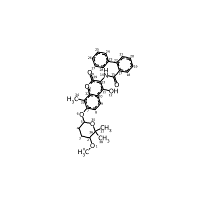 COC1CCC(Oc2ccc3c(O)c(NC(=O)c4ccccc4-c4ccccc4)c(=O)oc3c2C)OC1(C)C